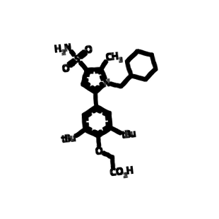 Cc1c(S(N)(=O)=O)cc(-c2cc(C(C)(C)C)c(OCC(=O)O)c(C(C)(C)C)c2)n1CC1CCCCC1